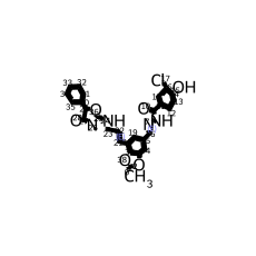 CC1Oc2cc(/C=N/NC(=O)c3ccc(O)c(Cl)c3)cc(/C=C/CNC3=NC(=O)C(c4ccccc4)O3)c2O1